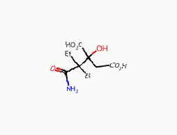 CCC(CC)(C(N)=O)C(O)(CC(=O)O)C(=O)O